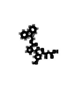 CO[C@@H]1C[C@@H](C(=O)NCC(=O)O)N(C(=O)[C@@H]2CCCN2C(=O)OCC2c3ccccc3-c3ccccc32)C1